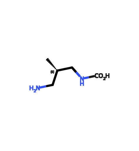 C[C@@H](CN)CNC(=O)O